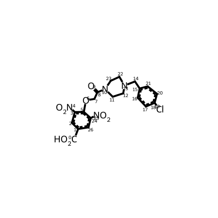 O=C(O)c1cc([N+](=O)[O-])c(OCC(=O)N2CCN(Cc3ccc(Cl)cc3)CC2)c([N+](=O)[O-])c1